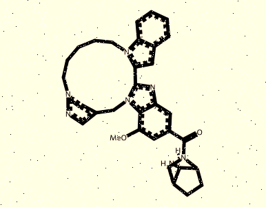 COc1cc(C(=O)N2CC3CCC2[C@@H]3N)cc2nc3n(c12)Cc1cnn(c1)CCCCCn1c-3cc2ccccc21